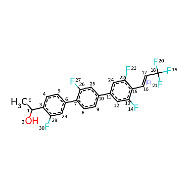 CC(O)c1ccc(-c2ccc(-c3cc(F)c(/C=C/C(F)(F)F)c(F)c3)cc2F)cc1F